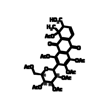 CC(=O)OC[C@H]1OC(c2c(OC(C)=O)c(OC(C)=O)c3c(c2OC(C)=O)C(=O)C2=C(C=CC(C(=O)O)C2(C)OC(C)=O)C3=O)[C@H](OC(C)=O)[C@@H](OC(C)=O)[C@@H]1OC(C)=O